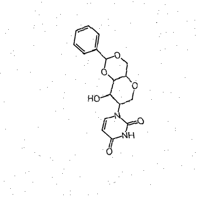 O=c1ccn(C2COC3COC(c4ccccc4)OC3C2O)c(=O)[nH]1